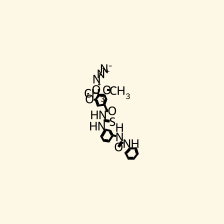 COc1cc(C(=O)NC(=S)Nc2cccc(NC(=O)Nc3ccccc3)c2)cc(OC)c1OCN=[N+]=[N-]